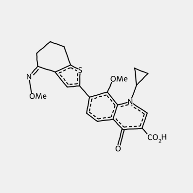 CO/N=C1/CCCc2sc(-c3ccc4c(=O)c(C(=O)O)cn(C5CC5)c4c3OC)cc21